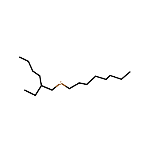 CCCCCCCCSCC(CC)CCCC